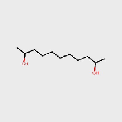 CC(O)CCCCCCCC(C)O